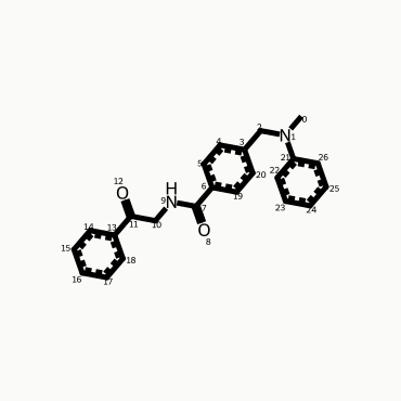 CN(Cc1ccc(C(=O)NCC(=O)c2ccccc2)cc1)c1ccccc1